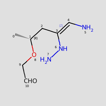 C[C@H](C/C(=C/N)NN)OCC=O